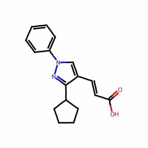 O=C(O)/C=C/c1cn(-c2ccccc2)nc1C1CCCC1